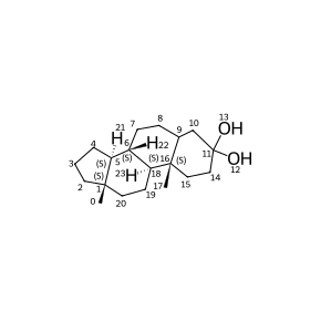 C[C@@]12CCC[C@H]1[C@@H]1CCC3CC(O)(O)CC[C@]3(C)[C@H]1CC2